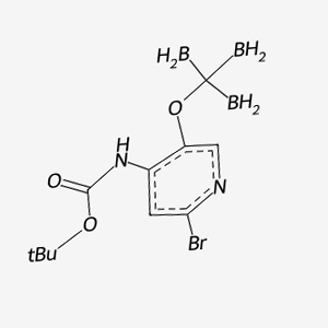 BC(B)(B)Oc1cnc(Br)cc1NC(=O)OC(C)(C)C